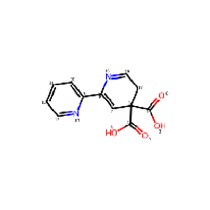 O=C(O)C1(C(=O)O)C=C(c2ccccn2)N=CC1